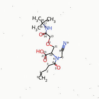 C=CCCC(=O)N(CC#N)C(COCC(=O)NC(C)(C)C)C(=O)O